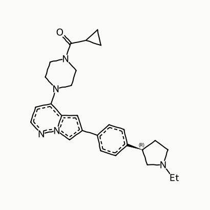 CCN1CC[C@H](c2ccc(-c3cc4c(N5CCN(C(=O)C6CC6)CC5)ccnn4c3)cc2)C1